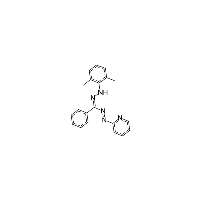 Cc1cccc(C)c1NN=C(N=Nc1ccccn1)c1ccccc1